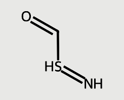 N=[SH]C=O